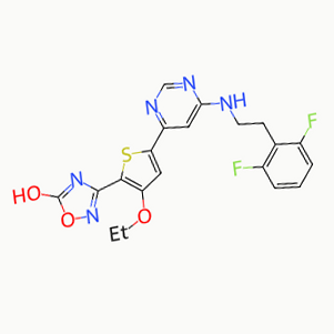 CCOc1cc(-c2cc(NCCc3c(F)cccc3F)ncn2)sc1-c1noc(O)n1